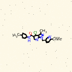 COc1ccc(Cn2nc(C)c3c(Cl)c(C(=O)Nc4ccc(C)cc4)cnc32)cn1